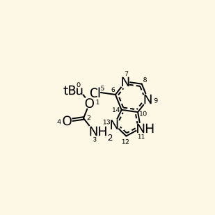 CC(C)(C)OC(N)=O.Clc1ncnc2[nH]cnc12